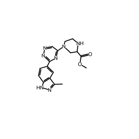 COC(=O)C1CN(c2cnnc(-c3ccc4[nH]nc(C)c4c3)n2)CCN1